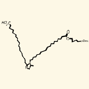 CCCCCCCCCCCCCCOC(=O)CCCCCCCCCCCCCCCCCN1C(CCCCCCCCCCCCCCCCC(=O)O)=NCC1C